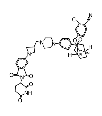 N#Cc1ccc(O[C@H]2C[C@H]3CC[C@@H](C2)N3C(=O)c2ccc(N3CCN(CC4CN(c5ccc6c(c5)C(=O)N(C5CCC(=O)NC5=O)C6=O)C4)CC3)cc2)cc1Cl